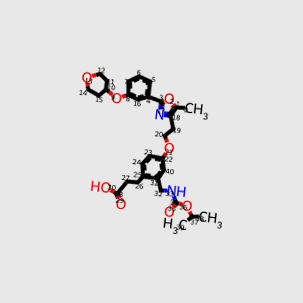 Cc1oc(-c2cccc(OC3CCOCC3)c2)nc1CCOc1ccc(CCC(=O)O)c(CNC(=O)OC(C)C)c1